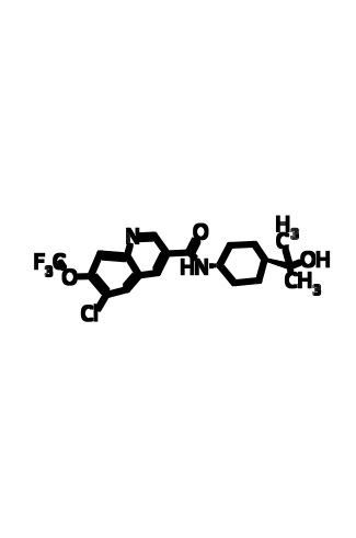 CC(C)(O)[C@H]1CC[C@H](NC(=O)c2cnc3cc(OC(F)(F)F)c(Cl)cc3c2)CC1